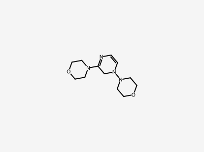 C1=CN(N2CCOCC2)CC(N2CCOCC2)=N1